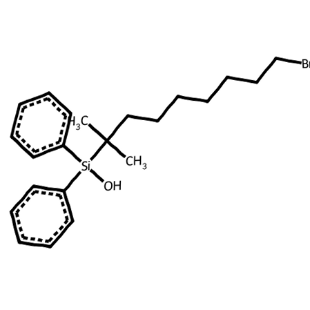 CC(C)(CCCCCCCBr)[Si](O)(c1ccccc1)c1ccccc1